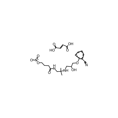 CC(C)(CNC(=O)CCCO[N+](=O)[O-])NCC(O)COc1ccccc1C#N.O=C(O)C=CC(=O)O